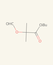 CC(C)COC(=O)C(C)(C)OC=O